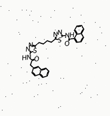 O=C(Cc1ccc2ccccc2c1)Nc1nnc(CCCCc2nnc(NC(=O)c3cccc4ccccc34)s2)s1